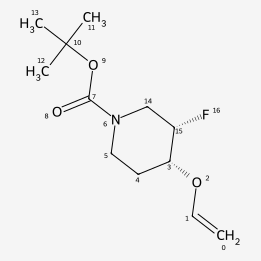 C=CO[C@@H]1CCN(C(=O)OC(C)(C)C)C[C@@H]1F